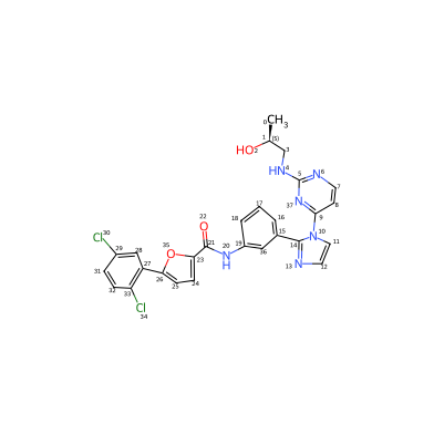 C[C@H](O)CNc1nccc(-n2ccnc2-c2cccc(NC(=O)c3ccc(-c4cc(Cl)ccc4Cl)o3)c2)n1